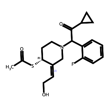 CC(=O)S[C@@H]1CCN(C(C(=O)C2CC2)c2ccccc2F)C/C1=C/CO